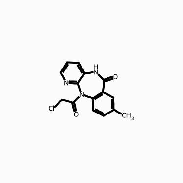 Cc1ccc2c(c1)C(=O)Nc1cccnc1N2C(=O)CCl